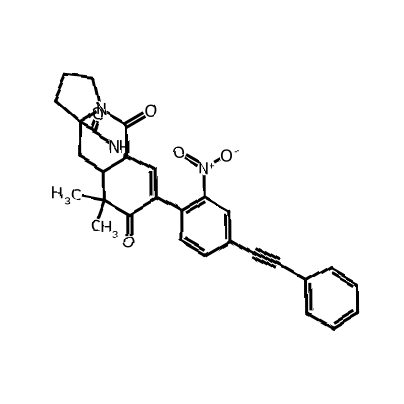 CC1(C)C(=O)C(c2ccc(C#Cc3ccccc3)cc2[N+](=O)[O-])=CC23NC(=O)C4(CCCN4C2=O)CC13